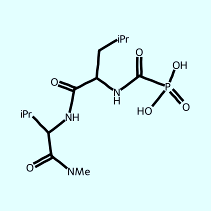 CNC(=O)C(NC(=O)C(CC(C)C)NC(=O)P(=O)(O)O)C(C)C